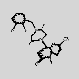 C[C@@H]1CN(c2cc(=O)n(C)c3ccc(C#N)nc23)[C@@H](C)CN1Cc1cccc(F)c1F